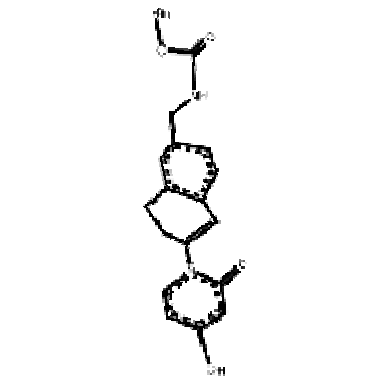 CC(C)(C)OC(=O)NCc1ccc2c(c1)CCC(n1ccc(O)cc1=O)=C2